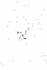 CCCCC(CC)(CC(=O)O)C(=O)O